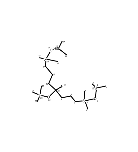 C[SiH](C)O[Si](C)(C)CCCC(F)(CCC[Si](C)(C)O[SiH](C)C)O[Si](C)(C)C